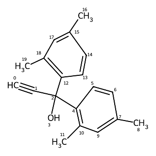 C#CC(O)(c1ccc(C)cc1C)c1ccc(C)cc1C